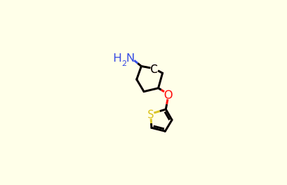 NC1CCC(Oc2cccs2)CC1